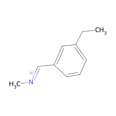 CCc1cccc(/C=N/C)c1